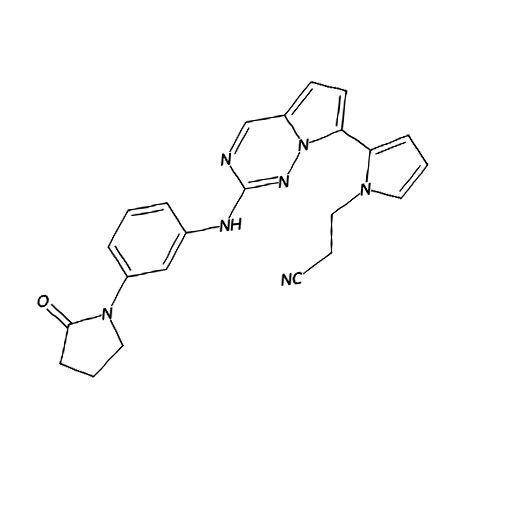 N#CCCn1cccc1-c1ccc2cnc(Nc3cccc(N4CCCC4=O)c3)nn12